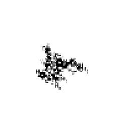 C=C[C@@H]1C[C@]1(NC(=O)[C@@H]1C[C@@H](Oc2cc(-c3csc(NC(C)C)n3)nc3cc(OC)ccc23)CN1C(=O)[C@@H](NC(=O)OC1CCCC1)C(C)(C)C)P(=O)(O)CCNCC(F)(F)F